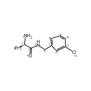 CC(C)[C@@H](N)C(=O)NCc1cccc(Cl)c1